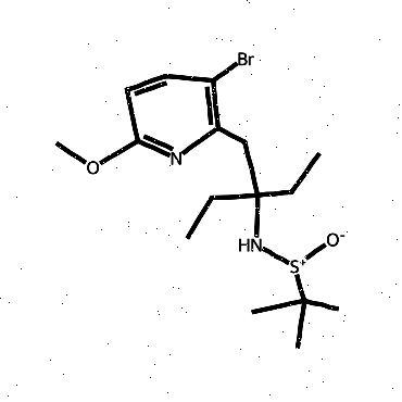 CCC(CC)(Cc1nc(OC)ccc1Br)N[S+]([O-])C(C)(C)C